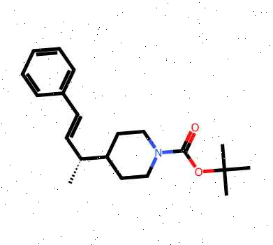 C[C@H](C=Cc1ccccc1)C1CCN(C(=O)OC(C)(C)C)CC1